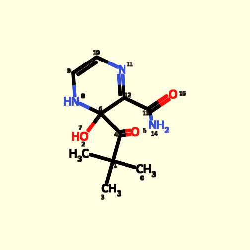 CC(C)(C)C(=O)C1(O)NC=CN=C1C(N)=O